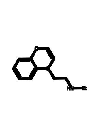 CCNCCN1C=COc2ccccc21